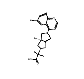 CC(C)(C(=O)Cl)[C@@H]1CC2C[C@H](c3ccnc4ccc(F)cc34)C[C@@H]2C1